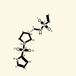 C=CS(=O)(=O)NC[C@H]1CCN(S(=O)(=O)c2cccs2)C1